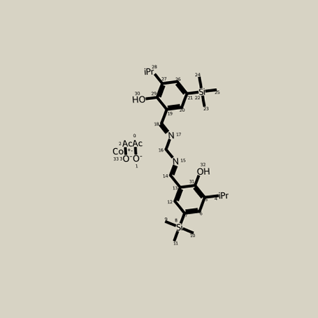 CC(=O)[O-].CC(=O)[O-].CC(C)c1cc([Si](C)(C)C)cc(C=NCN=Cc2cc([Si](C)(C)C)cc(C(C)C)c2O)c1O.[Co+2]